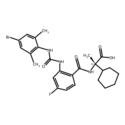 Cc1cc(Br)cc(C)c1NC(=O)Nc1cc(F)ccc1C(=O)N[C@](C)(C(=O)O)C1CCCCC1